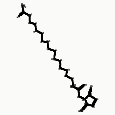 NC(=O)OCCOCCOCCOCCOCCNC(=O)CN1C(=O)C=CC1=O